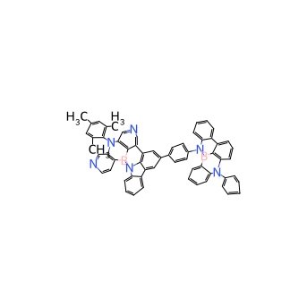 Cc1cc(C)c(N2c3cnccc3B3c4c(cncc42)-c2cc(-c4ccc(N5B6c7ccccc7N(c7ccccc7)c7cccc(c76)-c6ccccc65)cc4)cc4c5ccccc5n3c24)c(C)c1